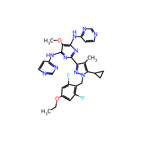 CCOc1cc(F)c(Cn2nc(-c3nc(Nc4ccncn4)c(OC)c(Nc4ccncn4)n3)c(C)c2C2CC2)c(F)c1